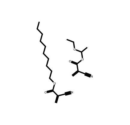 C=C(C#N)C(=O)OC(C)OCC.C=C(C#N)C(=O)OCCCCCCCCCC